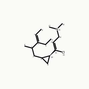 C/C=C(\CC)C(C)CC1C[C@@H]1/C(Cl)=C/CN(C)C